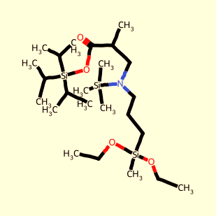 CCO[Si](C)(CCCN(CC(C)C(=O)O[Si](C(C)C)(C(C)C)C(C)C)[Si](C)(C)C)OCC